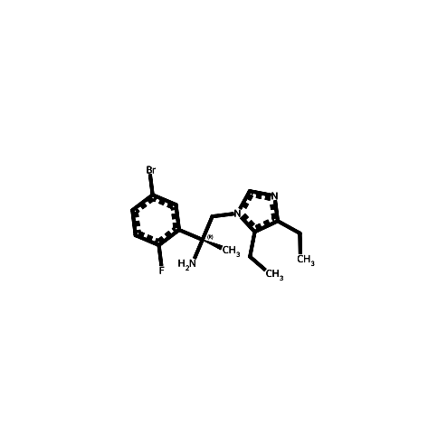 CCc1ncn(C[C@](C)(N)c2cc(Br)ccc2F)c1CC